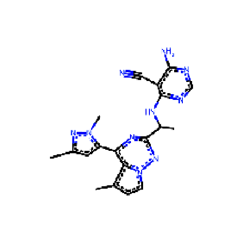 Cc1cc(-c2nc(C(C)Nc3ncnc(N)c3C#N)nn3ccc(C)c23)n(C)n1